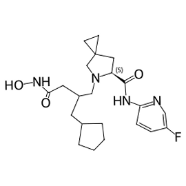 O=C(CC(CC1CCCC1)CN1CC2(CC2)C[C@H]1C(=O)Nc1ccc(F)cn1)NO